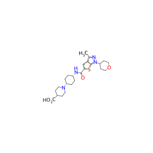 Cc1nn(C2CCOCC2)c2sc(C(=O)N[C@H]3CC[C@@H](N4CCC(C(=O)O)CC4)CC3)cc12